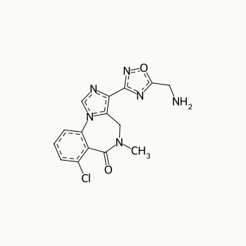 CN1Cc2c(-c3noc(CN)n3)ncn2-c2cccc(Cl)c2C1=O